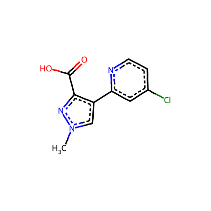 Cn1cc(-c2cc(Cl)ccn2)c(C(=O)O)n1